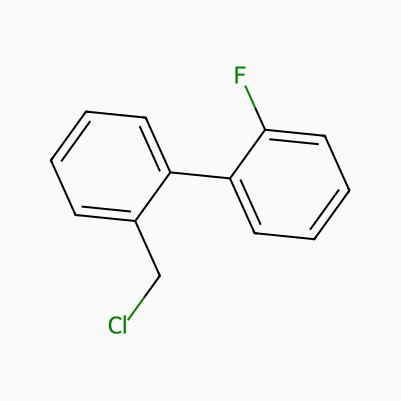 Fc1ccccc1-c1ccccc1CCl